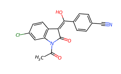 CC(=O)N1C(=O)C(=C(O)c2ccc(C#N)cc2)c2ccc(Cl)cc21